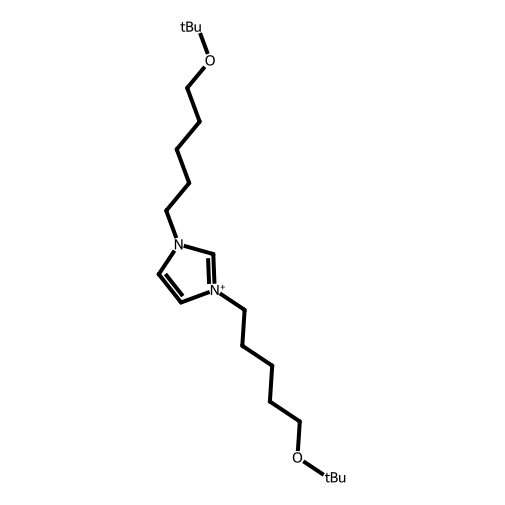 CC(C)(C)OCCCCCn1cc[n+](CCCCCOC(C)(C)C)c1